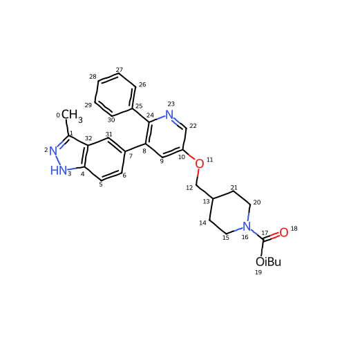 Cc1n[nH]c2ccc(-c3cc(OCC4CCN(C(=O)OCC(C)C)CC4)cnc3-c3ccccc3)cc12